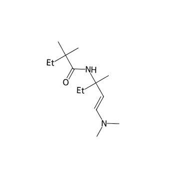 CCC(C)(/C=C/N(C)C)NC(=O)C(C)(C)CC